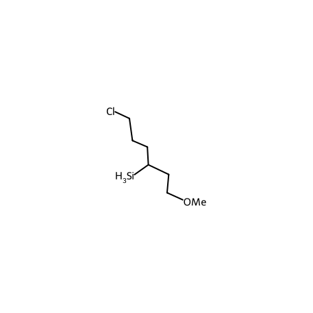 COCCC([SiH3])CCCCl